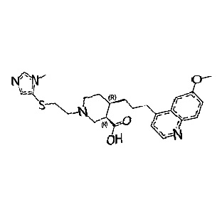 COc1ccc2nccc(CCC[C@@H]3CCN(CCSc4cncn4C)C[C@@H]3C(=O)O)c2c1